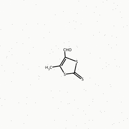 Cc1sc(=S)sc1C=O